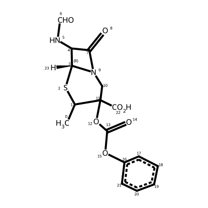 CC1S[C@@H]2C(NC=O)C(=O)N2CC1(OC(=O)Oc1ccccc1)C(=O)O